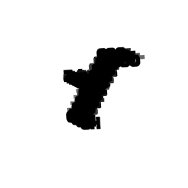 O=C([O-])CCCCCCCCCCCCCCCCCCO.O=C([O-])CCCCCCCCCCCCCCCCCCO.O=C([O-])CCCCCCCCCCCCCCCCCCO.O=C([O-])CCCCCCCCCCCCCCCCCCO.[O-2].[O-2].[O-2].[O-2].[Zr+4].[Zr+4].[Zr+4]